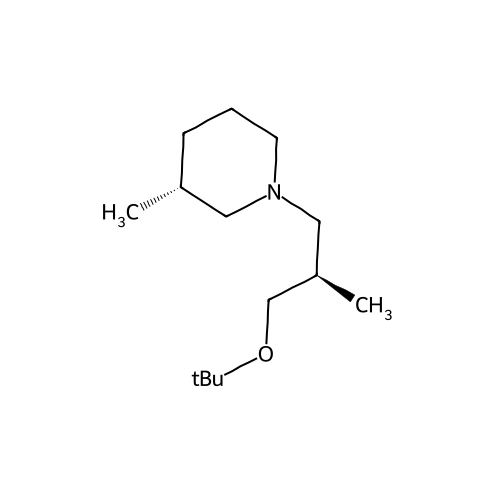 C[C@@H]1CCCN(C[C@@H](C)COC(C)(C)C)C1